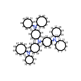 C1=C(/N(C2CCCCCCCCC2)C2CCCCCCCC2)CCCC(N(C2CCCCC(N(C3CCCCCCCCC3)C3CCCCCCCC3)CCC2)C2CCCCC(N(C3CCCCCCCCC3)C3CCCCCCC3)CCC2)CCC/1